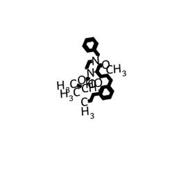 CCCc1cccc(C[C@H](C)[C@H](O)[C@H]2C(=O)N(Cc3ccccc3)CCN2C(=O)OC(C)(C)C)c1